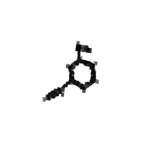 CC(=O)Nc1cccc([N+]#N)c1